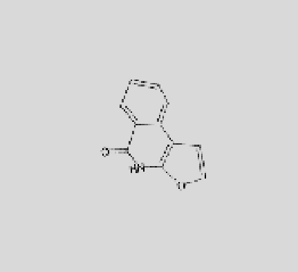 O=c1[nH]c2occc2c2ccccc12